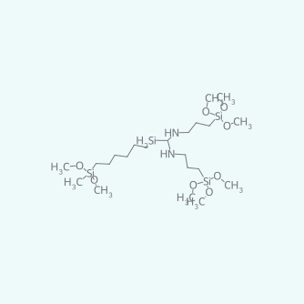 CO[Si](C)(CCCCCC[SiH2]C(NCCC[Si](OC)(OC)OC)NCCC[Si](OC)(OC)OC)OC